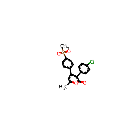 Cc1cc(-c2ccc(S(C)(=O)=O)cc2)c(-c2ccc(Cl)cc2)c(=O)o1